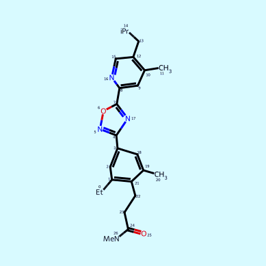 CCc1cc(-c2noc(-c3cc(C)c(CC(C)C)cn3)n2)cc(C)c1CCC(=O)NC